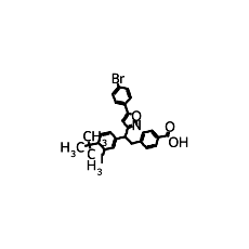 CC(C)(C)C1C=CC(C(Cc2ccc(C(=O)O)cc2)c2cc(-c3ccc(Br)cc3)on2)=CC1I